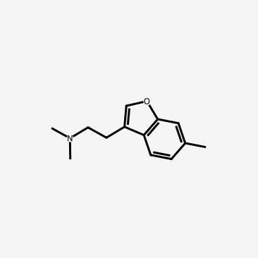 Cc1ccc2c(CCN(C)C)coc2c1